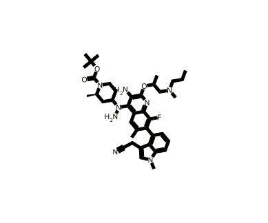 CCCN(C)CC(C)Oc1nc2c(F)c(-c3cccc4c3c(CC#N)cn4C)c(C)cc2c(N(N)C2CCN(C(=O)OC(C)(C)C)[C@H](C)C2)c1N